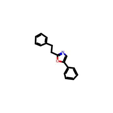 c1ccc(CCc2ncc(-c3ccccc3)o2)cc1